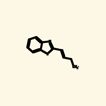 [CH2]CC=Cc1nc2ccccc2s1